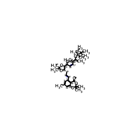 Cc1cc(/C=C/C[C@@H]2OC(C)(C)O[C@@H]2[C@H](C)/C=C\[C@@H](C)[C@H](C)O[Si](C)(C)C(C)(C)C)c2c(c1)OC(C)(C)OC2=O